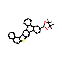 CC1(C)OB(c2ccc3c(c2)c2ccccc2c2cc4c(cc32)sc2ccc3ccccc3c24)OC1(C)C